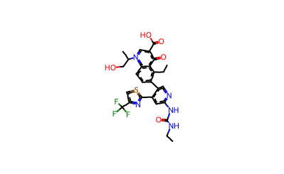 CCNC(=O)Nc1cc(-c2nc(C(F)(F)F)cs2)c(-c2ccc3c(c2CC)c(=O)c(C(=O)O)cn3C(C)CO)cn1